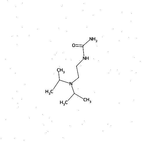 CC(C)N(CCNC(N)=O)C(C)C